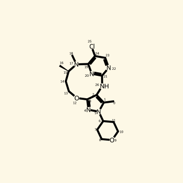 Cc1c2c(nn1C1CCOCC1)OCC[C@@H](C)N(C)c1nc(ncc1Cl)N2